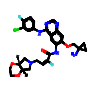 NC1(COc2cc3ncnc(Nc4ccc(F)c(Cl)c4)c3cc2NC(=O)/C(F)=C\CN2C[C@@H]3OCCO[C@H]3C2)CC1